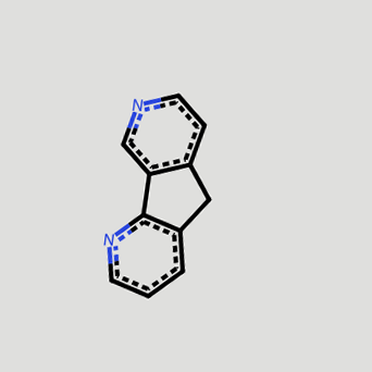 c1cnc2c(c1)Cc1ccncc1-2